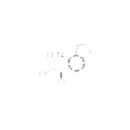 Nc1c(C(=O)CCl)ccc2c1CCC2